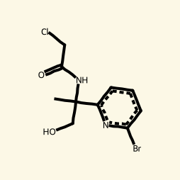 CC(CO)(NC(=O)CCl)c1cccc(Br)n1